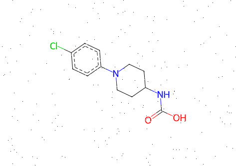 O=C(O)NC1CCN(c2ccc(Cl)cc2)CC1